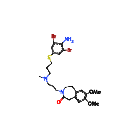 COc1cc2c(cc1OC)CC(=O)N(CCCN(C)CCCSc1cc(Br)c(N)c(Br)c1)CC2